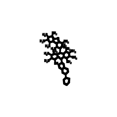 Bc1c(B)c(B)c2c(oc3c(B)c(B)c(-c4c5c(B)c(B)c(B)c(B)c5c(-c5ccc6cc(-c7ccccc7)ccc6c5)c5c(B)c(B)c(B)c(B)c45)c(B)c32)c1B